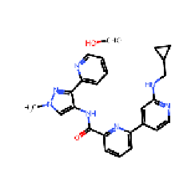 Cn1cc(NC(=O)c2cccc(-c3ccnc(NCC4CC4)c3)n2)c(-c2ccccn2)n1.O=CO